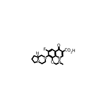 CN1COc2c(N3CCN4CCC[C@@H]4C3)c(F)cc3c(=O)c(C(=O)O)cn1c23